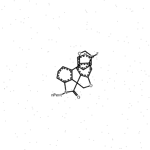 CCCCCN1C(=O)C2(COc3cc4c(cc32)OCO4)c2c(-c3ccc(F)nc3)cccc21